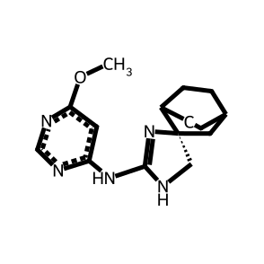 COc1cc(NC2=N[C@]3(CN2)CC2CCC3CC2)ncn1